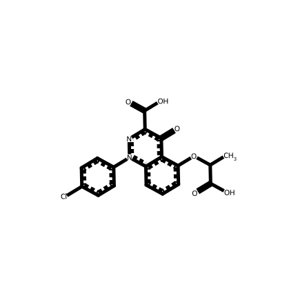 CC(Oc1cccc2c1c(=O)c(C(=O)O)nn2-c1ccc(Cl)cc1)C(=O)O